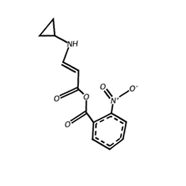 O=C(C=CNC1CC1)OC(=O)c1ccccc1[N+](=O)[O-]